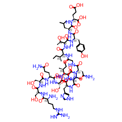 CC[C@H](C)[C@H](NC(=O)CNC(=O)[C@H](CC(N)=O)NC(=O)[C@H](CO)NC(=O)[C@H](Cc1c[nH]cn1)NC(=O)[C@@H](NC(=O)[C@@H](NC(=O)[C@H](CO)NC(=O)[C@H](CCC(N)=O)NC(=O)[C@H](CO)NC(=O)[C@H](CO)NC(=O)[C@@H](N)CCCNC(=N)N)[C@@H](C)CC)C(C)C)C(=O)N[C@H](C(=O)N[C@@H](Cc1ccc(O)cc1)C(=O)N[C@@H](CC(C)C)C(=O)N[C@@H](CCC(=O)O)C(=O)O)[C@@H](C)O